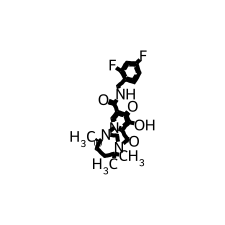 C[C@@H]1CCC(C)(C)N2CN1n1cc(C(=O)NCc3ccc(F)cc3F)c(=O)c(O)c1C2=O